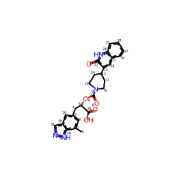 Cc1cc(CC(OC(=O)N2CCC(c3cc4ccccc4[nH]c3=O)CC2)C(=O)O)cc2cn[nH]c12